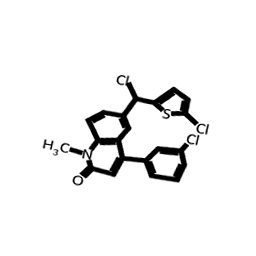 Cn1c(=O)cc(-c2cccc(Cl)c2)c2cc(C(Cl)c3ccc(Cl)s3)ccc21